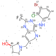 O[C@@H]1CCN(Cc2cnc3c(Nc4cccc(Br)c4Cl)nc(C(F)(F)F)nc3c2)C1